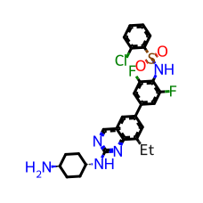 CCc1cc(-c2cc(F)c(NS(=O)(=O)c3ccccc3Cl)c(F)c2)cc2cnc(N[C@H]3CC[C@H](N)CC3)nc12